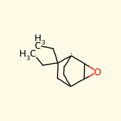 CCC1(CC)CC2CC[C]1C1OC21